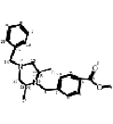 COC(=O)c1ccc(CN2[C@H](C)CN(Cc3ccccc3)C[C@@H]2C)cc1